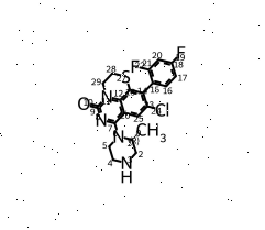 C[C@@H]1CNCCN1c1nc(=O)n2c3c(c(-c4ccc(F)cc4F)c(Cl)cc13)SCC2